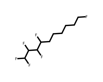 FCCCCCCC(F)C(F)C(F)C(F)F